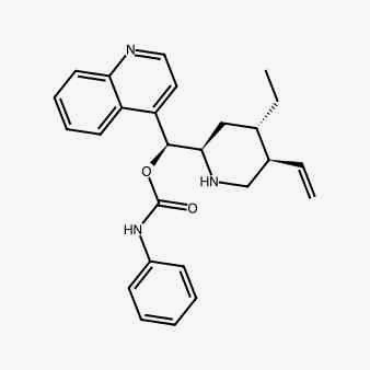 C=C[C@H]1CN[C@@H]([C@@H](OC(=O)Nc2ccccc2)c2ccnc3ccccc23)C[C@@H]1CC